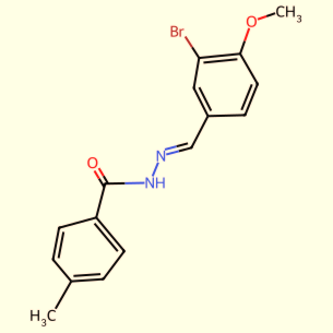 COc1ccc(C=NNC(=O)c2ccc(C)cc2)cc1Br